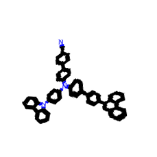 N#Cc1ccc(-c2ccc(N(c3ccc(-c4ccc(-c5cc6ccccc6c6ccccc56)cc4)cc3)c3ccc(-n4c5ccccc5c5ccccc54)cc3)cc2)cc1